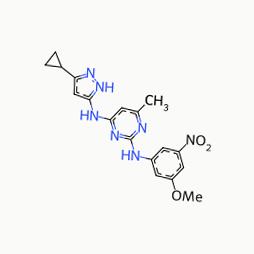 COc1cc(Nc2nc(C)cc(Nc3cc(C4CC4)n[nH]3)n2)cc([N+](=O)[O-])c1